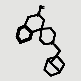 CC(=O)N1Cc2ccccc2C2(CCN(CC3CC4CCC3CC4)CC2)C1